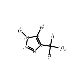 CCn1nnc(C(Cl)(Cl)C(Cl)(Cl)Cl)c1Br